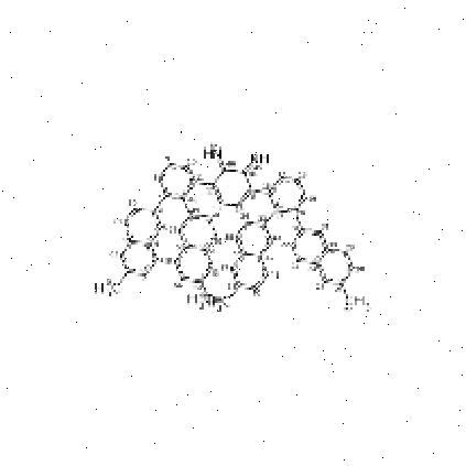 Cc1ccc2cc(-c3cccc(C4=CC=C(c5cccc(-c6ccc7cc(C)ccc7c6)c5-c5ccc6cc(C)ccc6c5)C(=N)C4=N)c3-c3ccc4cc(C)ccc4c3)ccc2c1